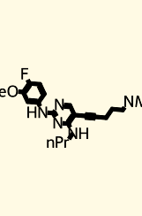 CCCNc1nc(Nc2ccc(F)c(OC)c2)ncc1C#CCCCNC